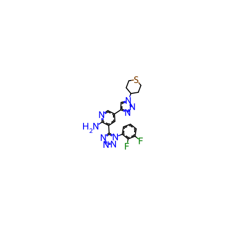 Nc1ncc(-c2cn(C3CCSCC3)nn2)cc1-c1nnnn1-c1cccc(F)c1F